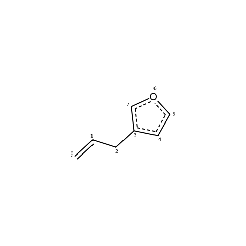 [CH]=CCc1ccoc1